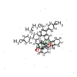 CCc1ccc2c(c1-c1ccc(C)cc1)C=C(c1occ3ccccc13)[CH]2[Zr]([Cl])([Cl])([CH]1C(c2occ3ccccc23)=Cc2c1ccc(CC)c2-c1ccc(C)cc1)=[Si](C)C